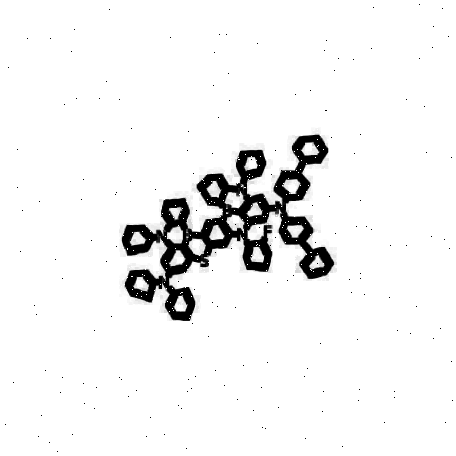 Fc1ccccc1N1c2cc3c(cc2B2c4ccccc4N(c4ccccc4)c4cc(N(c5ccc(-c6ccccc6)cc5)c5ccc(-c6ccccc6)cc5)cc1c42)B1c2ccccc2N(c2ccccc2)c2cc(N(c4ccccc4)c4ccccc4)cc(c21)S3